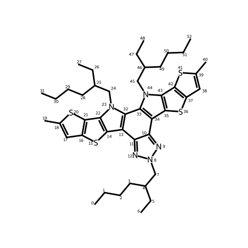 CCCCC(CC)Cn1nc2c(n1)c1c3sc4cc(C)sc4c3n(CC(CC)CCCC)c1c1c2c2sc3cc(C)sc3c2n1CC(CC)CCCC